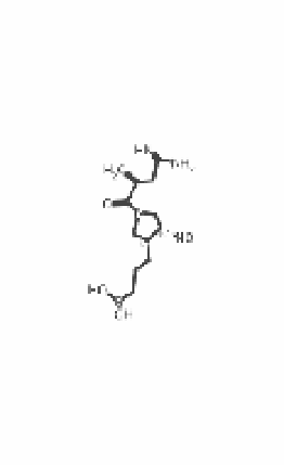 C=C(CC(=N)N)C(=O)N1C[C@H](CCCB(O)O)[C@@H](N=O)C1